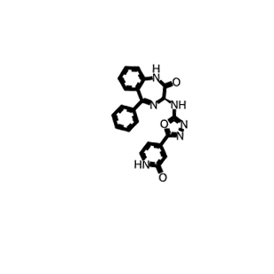 O=C1Nc2ccccc2C(c2ccccc2)=N[C@@H]1Nc1nnc(-c2cc[nH]c(=O)c2)o1